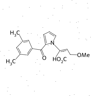 COC/C=C(\C(=O)O)n1cccc1C(=O)c1cc(C)cc(C)c1